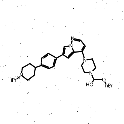 CCCOC(O)N1CCN(c2ccnn3cc(-c4ccc(C5CCN(C(C)C)CC5)cc4)cc23)CC1